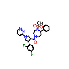 CS(=O)(=O)N1CCN(C(=O)C2CN(c3cccnn3)C[C@H]2c2ccc(F)cc2F)CCC1C1=CCCC=C1